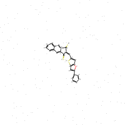 S=C1C(=Cc2cc3oc(-c4ccccc4)cc3s2)C(=S)c2cc3ccccc3cc21